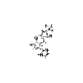 O=C1NN=C(c2ncc[nH]2)/C1=C/c1ccc(C(F)(F)F)[nH]1